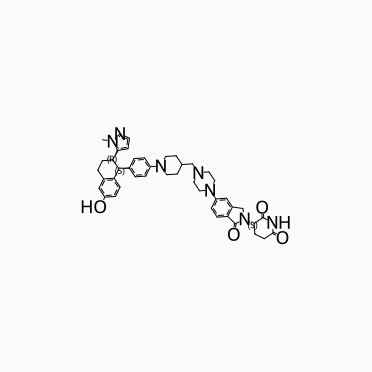 Cn1nccc1[C@@H]1CCc2cc(O)ccc2[C@@H]1c1ccc(N2CCC(CN3CCN(c4ccc5c(c4)CN([C@H]4CCC(=O)NC4=O)C5=O)CC3)CC2)cc1